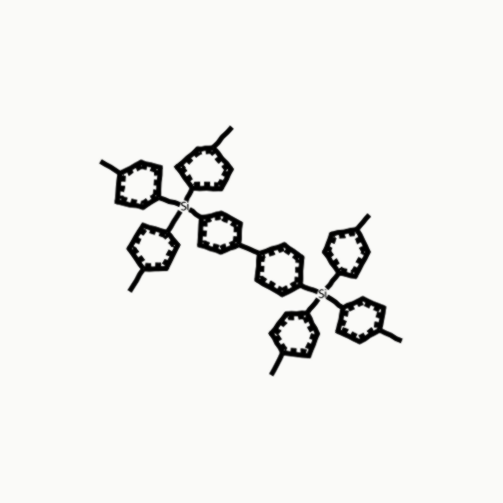 Cc1ccc([Si](c2ccc(C)cc2)(c2ccc(C)cc2)c2ccc(-c3ccc([Si](c4ccc(C)cc4)(c4ccc(C)cc4)c4ccc(C)cc4)cc3)cc2)cc1